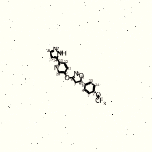 FC(F)(F)Oc1ccc([C@@H]2CC(Oc3ccc(-c4ccn[nH]4)nc3)=NO2)cc1